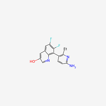 CCc1nc(N)ccc1-c1c(F)c(F)cc2cc(O)cnc12